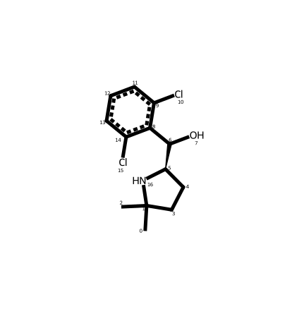 CC1(C)CC[C@H](C(O)c2c(Cl)cccc2Cl)N1